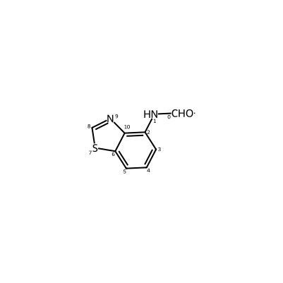 O=[C]Nc1cccc2scnc12